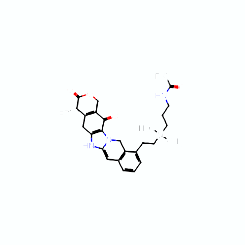 CC[C@@H]1C(=O)OCC2=C1CC1=C(C2=O)N2Cc3c(cccc3CC[Si](C)(C)CCCNC(=O)C(F)(F)F)C=C2N1